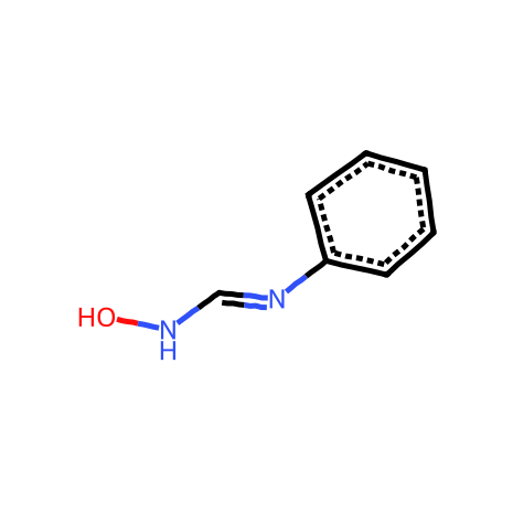 ON/C=N/c1ccccc1